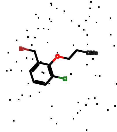 COCCOc1c(Cl)cccc1CBr